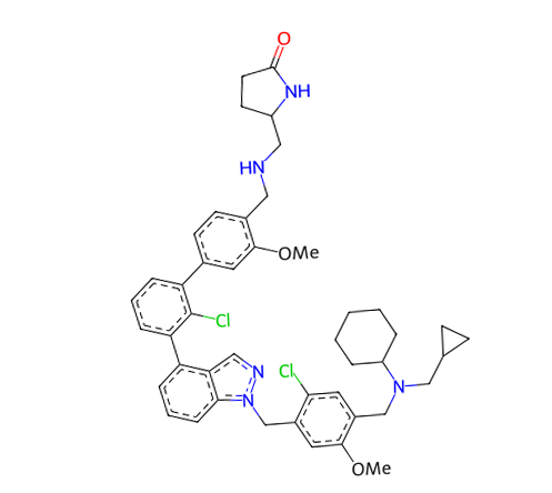 COc1cc(-c2cccc(-c3cccc4c3cnn4Cc3cc(OC)c(CN(CC4CC4)C4CCCCC4)cc3Cl)c2Cl)ccc1CNCC1CCC(=O)N1